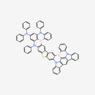 c1ccc(N(c2ccccc2)c2cc3c4c(c2)N(c2ccccc2)c2cc5sc6cc7c(cc6c5cc2B4c2ccccc2N3c2ccccc2)B2c3ccccc3-n3c4ccccc4c4cc5c6ccccc6n-7c5c2c43)cc1